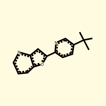 CC(C)(C)c1ccc(-c2cc3ncccc3o2)nc1